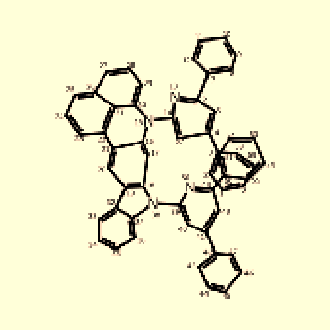 c1ccc(-c2cc(-c3ccccc3)nc(N3c4cc5c(cc4-c4cccc6cccc3c46)c3ccccc3n5-c3cc(-c4ccccc4)cc(-c4ccccc4)n3)c2)cc1